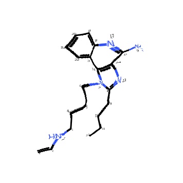 C=CNCCCCn1c(CCCC)nc2c(N)nc3ccccc3c21